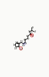 CC(C)CC(=O)CCC/C=C\CC1=CCCC1=O